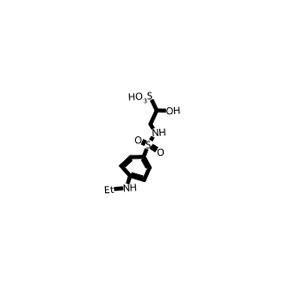 CCNc1ccc(S(=O)(=O)NCC(O)S(=O)(=O)O)cc1